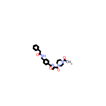 CC(=O)N1CCCN(C(=O)c2coc(-c3ccc(CNC(=O)Cc4ccccc4)cc3)n2)CC1